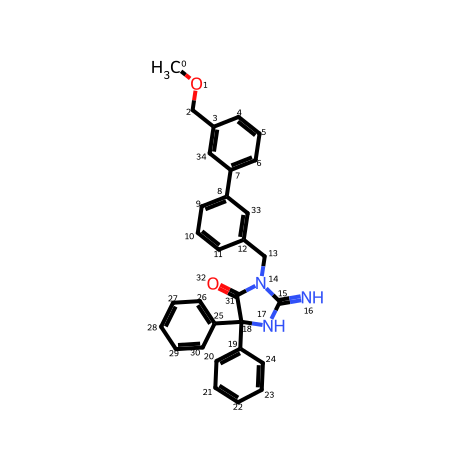 COCc1cccc(-c2cccc(CN3C(=N)NC(c4ccccc4)(c4ccccc4)C3=O)c2)c1